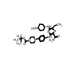 CCc1nc(C(N)=O)c(Nc2ccc(N3CCN(C(=O)OC(C)(C)C)CC3)cc2)nc1N[C@H]1CC[C@H](O)CC1